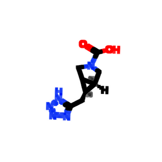 O=C(O)N1CC2[C@@H](C1)[C@H]2Cc1nnn[nH]1